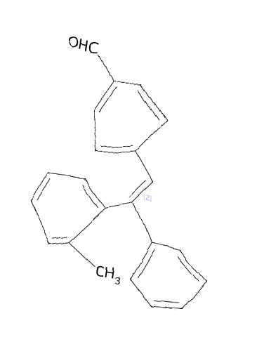 Cc1ccccc1/C(=C\c1ccc(C=O)cc1)c1ccccc1